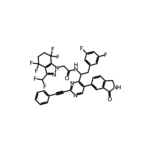 O=C(Cn1nc(C(F)F)c2c1C(F)(F)CCC2(F)F)NC(Cc1cc(F)cc(F)c1)c1nc(C#Cc2ccccc2)ncc1-c1ccc2c(c1)C(=O)NC2